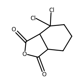 O=C1OC(=O)C2C1CCCC2(Cl)Cl